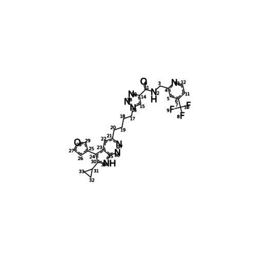 O=C(NCc1cc(C(F)(F)F)ccn1)c1cn(CCCCc2cc3c(-c4ccoc4)c(C4CC4)[nH]c3nn2)nn1